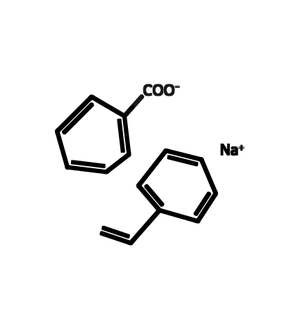 C=Cc1ccccc1.O=C([O-])c1ccccc1.[Na+]